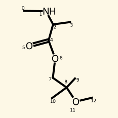 CNC(C)C(=O)OCC(C)(C)OC